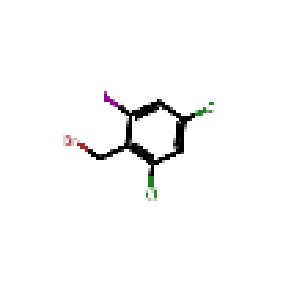 Clc1cc(Cl)c(CBr)c(I)c1